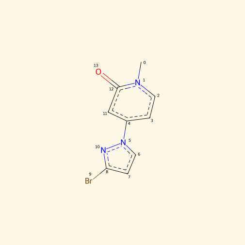 Cn1ccc(-n2ccc(Br)n2)cc1=O